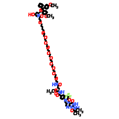 COC(=O)[C@H](CCC(=O)NCCOCCOCCOCCOCCOCCOCCOCCOCCOCCOCCCCCOCCC(=O)N1C[C@H](O)C[C@H]1COC(c1ccccc1)(c1ccc(OC)cc1)c1ccc(OC)cc1)NC(=O)c1ccc(N(Cc2cnc3nc(NC(=O)C(C)C)[nH]c(=O)c3n2)C(=O)C(F)(F)F)cc1